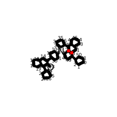 C1=CCC(c2ccc(N(c3ccc(-c4cc5ccccc5c5c4oc4ccccc45)cc3)c3ccccc3-c3cccc4ccccc34)cc2)C=C1